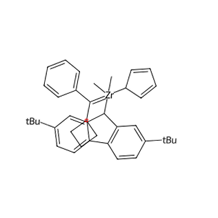 CC(C)(C)c1ccc2c(c1)[CH]([Zr]([CH3])([CH3])(=[C](c1ccccc1)C1CCC1)[CH]1C=CC=C1)c1cc(C(C)(C)C)ccc1-2